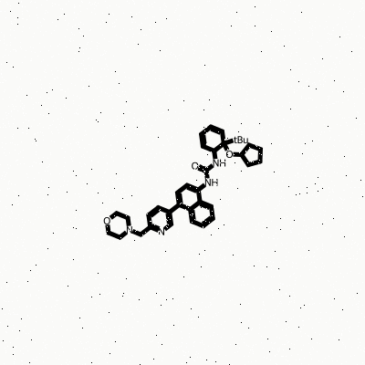 CC(C)(C)C1(OC2CCCC2)C=CC=CC1NC(=O)Nc1ccc(-c2ccc(CN3CCOCC3)nc2)c2ccccc12